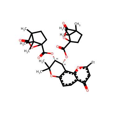 CCc1cc(=O)c2ccc3c(c2o1)[C@@H](OC(=O)C12CCC(C)(C(=O)O1)C2(C)C)[C@@H](OC(=O)C12CCC(C)(C(=O)O1)C2(C)C)C(C)(C)O3